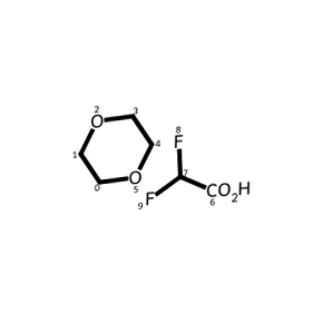 C1COCCO1.O=C(O)C(F)F